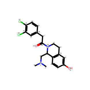 CN(C)CC1c2ccc(O)cc2CCN1C(=O)Cc1ccc(Cl)c(Cl)c1